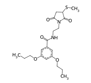 CCCOc1cc(OCCC)cc(C(=O)NCCN2C(=O)CC(SC)C2=O)c1